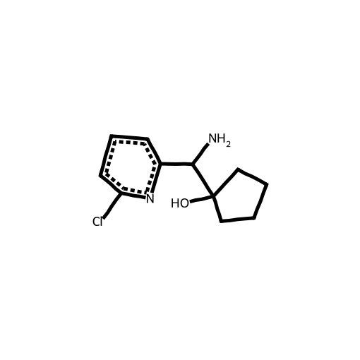 NC(c1cccc(Cl)n1)C1(O)CCCC1